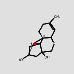 CC1=CC2OCC3(O)CC4(O)CC3(C)[C@]2(CC1)CO4